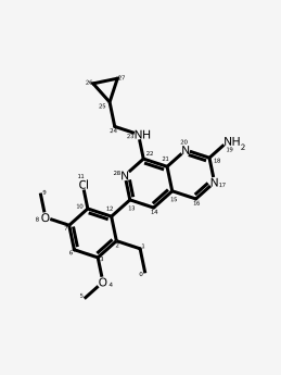 CCc1c(OC)cc(OC)c(Cl)c1-c1cc2cnc(N)nc2c(NCC2CC2)n1